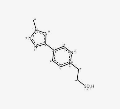 Cn1nnc(-c2cc[n+](CCS(=O)(=O)O)nc2)n1